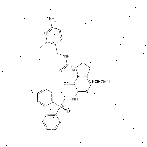 CC[C@](CNc1ncc2n(c1=O)[C@H](C(=O)NCc1ccc(N)nc1C)CC2)(c1ccccc1)c1ccccn1.Cl.Cl.Cl